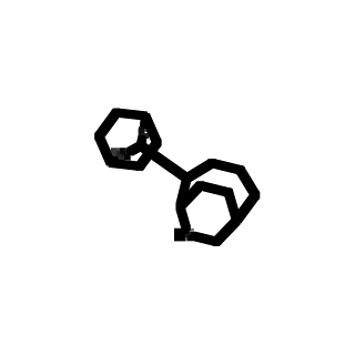 C1CC2CCC(NC2)C(C2CC3CCC(CC3)N2)C1